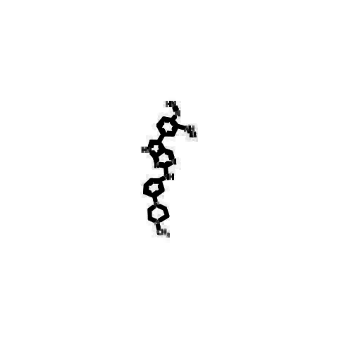 CCNc1cc(-c2c[nH]c3nc(Nc4cccc(N5CCN(C)CC5)c4)ncc23)ccc1N=N